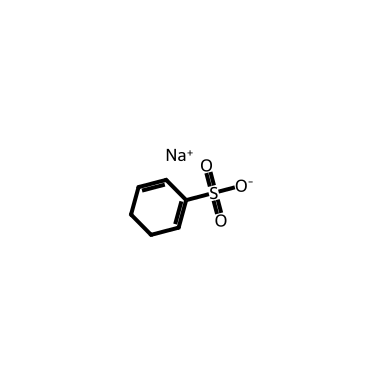 O=S(=O)([O-])C1=CCCC=C1.[Na+]